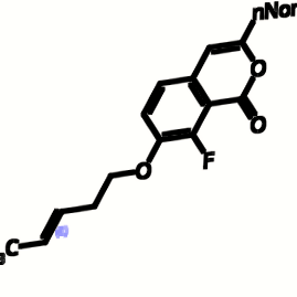 C/C=C/CCOc1ccc2cc(CCCCCCCCC)oc(=O)c2c1F